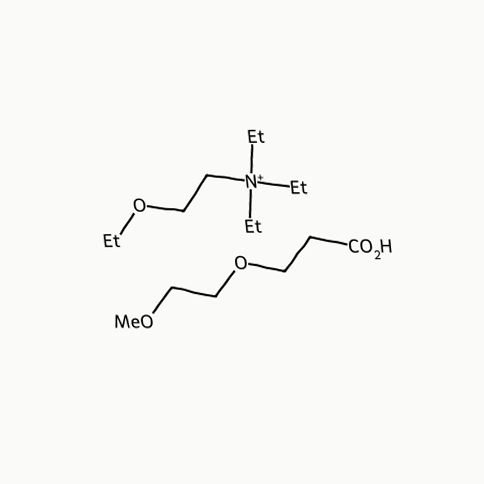 CCOCC[N+](CC)(CC)CC.COCCOCCC(=O)O